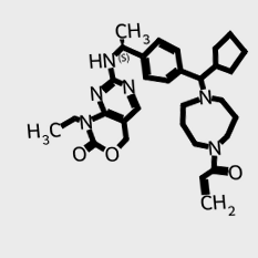 C=CC(=O)N1CCCN(C(c2ccc([C@H](C)Nc3ncc4c(n3)N(CC)C(=O)OC4)cc2)C2CCCC2)CCC1